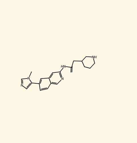 C=C(CC1CCCNC1)Nc1cc2cc(-c3cncn3C)ccc2cn1